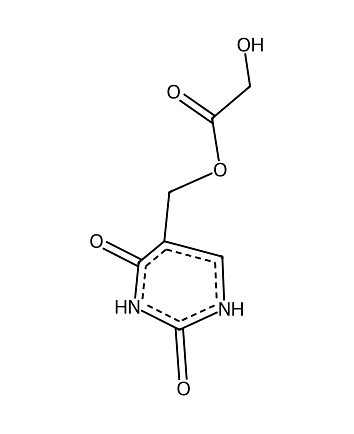 O=C(CO)OCc1c[nH]c(=O)[nH]c1=O